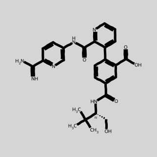 CC(C)(C)[C@@H](CO)NC(=O)c1ccc(-c2cccnc2C(=O)Nc2ccc(C(=N)N)nc2)c(C(=O)O)c1